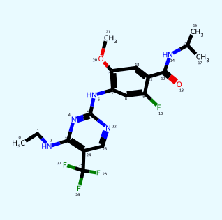 CCNc1nc(Nc2cc(F)c(C(=O)NC(C)C)cc2OC)ncc1C(F)(F)F